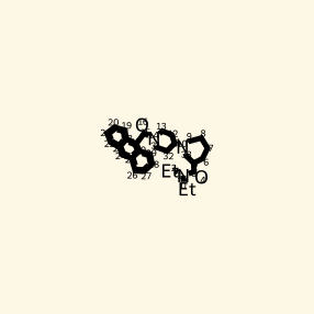 CCN(CC)C(=O)C1CCCCN(C2CCN(C(=O)c3c4ccccc4cc4ccccc34)CC2)C1